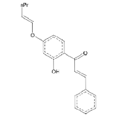 CCCC=COc1ccc(C(=O)C=Cc2ccccc2)c(O)c1